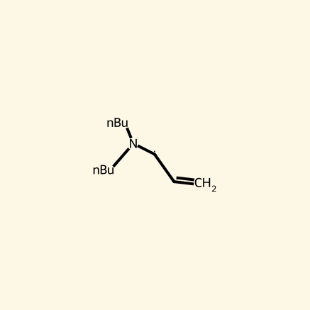 C=C[CH]N(CCCC)CCCC